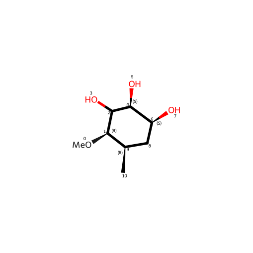 CO[C@H]1C(O)[C@@H](O)[C@@H](O)C[C@H]1C